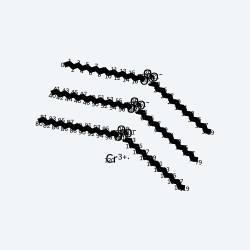 CCCCCCCCC=CCCCCCCCCOP(=O)([O-])CCCCCCCCC=CCCCCCCCC.CCCCCCCCC=CCCCCCCCCOP(=O)([O-])CCCCCCCCC=CCCCCCCCC.CCCCCCCCC=CCCCCCCCCOP(=O)([O-])CCCCCCCCC=CCCCCCCCC.[Cr+3]